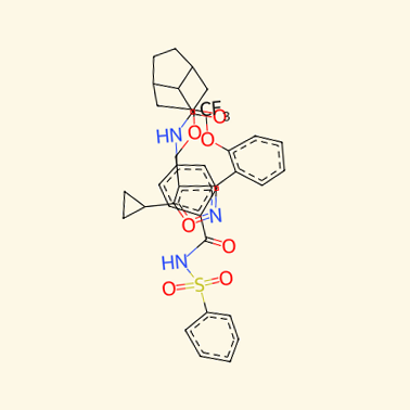 O=C(NS(=O)(=O)c1ccccc1)c1ccc(NC(=O)C2C3CCC2CC(OCc2c(-c4ccccc4OC(F)(F)F)noc2C2CC2)C3)cc1